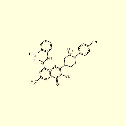 Cc1cc([C@@H](C)Nc2ccccc2C(=O)O)c2nc(N3CCN(c4ccc(C#N)cc4)[C@@H](C)C3)c(C#N)c(=O)n2c1